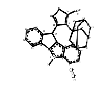 Cn1c2c(c3ccccc31)C(C1=CC[C]([Zr+2])=C1C13CC4CC(CC(C4)C1)C3)c1ccccc1-2.[Cl-].[Cl-]